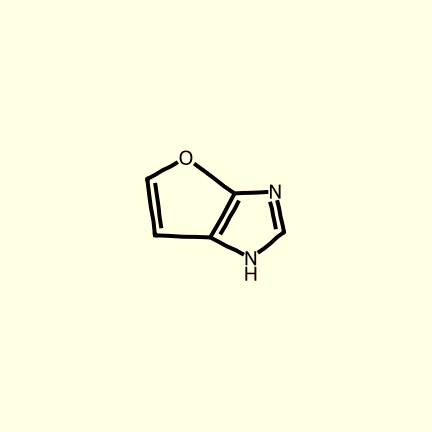 c1nc2occc2[nH]1